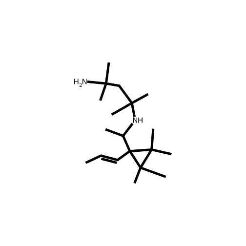 CC=CC1(C(C)NC(C)(C)CC(C)(C)N)C(C)(C)C1(C)C